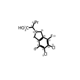 CC(C)C(C(=O)O)N1Cc2c(F)c(Cl)c(Cl)c(F)c2C1